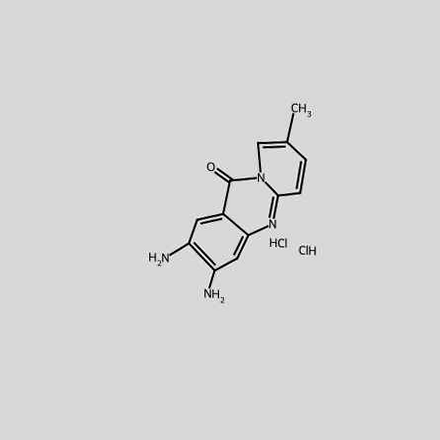 Cc1ccc2nc3cc(N)c(N)cc3c(=O)n2c1.Cl.Cl